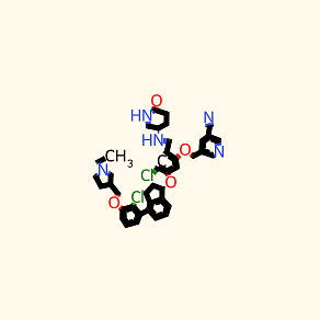 CCN1CCC(COc2cccc(-c3cccc4c3CC[C@@H]4Oc3cc(OCc4cncc(C#N)c4)c(CN[C@H]4CCC(=O)NC4)cc3Cl)c2Cl)C1